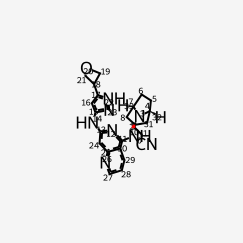 N#CCCN1[C@@H]2CC[C@H]1C[C@H](Nc1nc(Nc3cc(C4COC4)[nH]n3)cc3ncccc13)C2